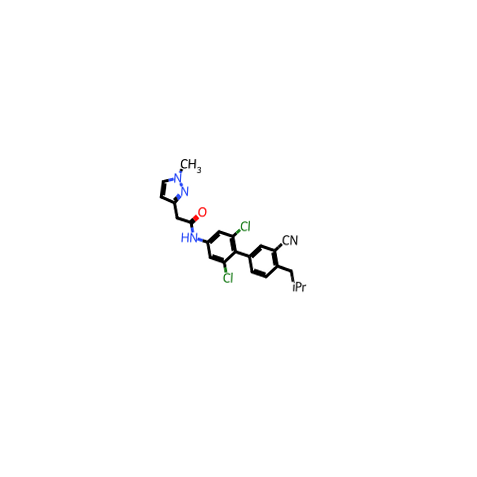 CC(C)Cc1ccc(-c2c(Cl)cc(NC(=O)Cc3ccn(C)n3)cc2Cl)cc1C#N